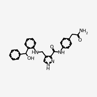 NC(=O)Cc1ccc(NC(=O)c2n[nH]cc2CNc2ccccc2C(O)c2ccccc2)cc1